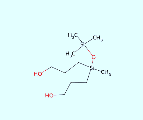 C[Si](C)(C)O[Si](C)(CCCO)CCCO